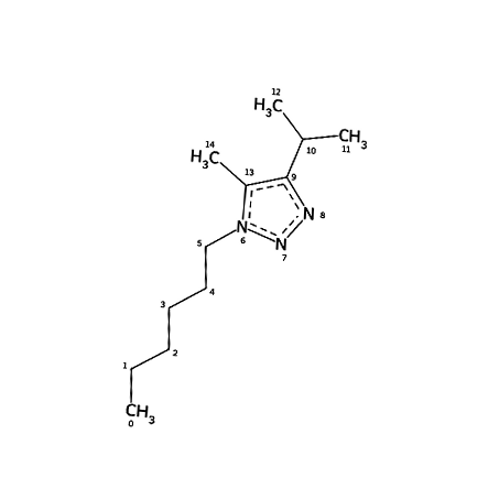 CCCCCCn1nnc(C(C)C)c1C